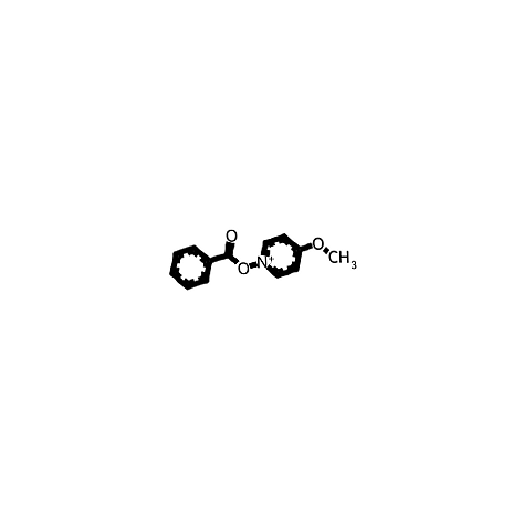 COc1cc[n+](OC(=O)c2ccccc2)cc1